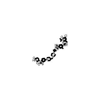 Cc1cc(S(=O)(=O)N[C@H]2C[C@@H](N3CCN(CC4CCN(c5ccc6c(c5)n(C)c(=O)n6C5CCC(=O)NC5=O)CC4)CC3)C2)ccc1Nc1ncc2cc(Cl)c(=O)n(C(C)C)c2n1